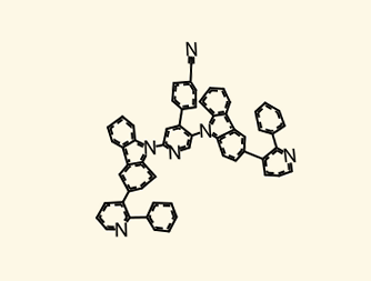 N#Cc1ccc(-c2cc(-n3c4ccccc4c4cc(-c5cccnc5-c5ccccc5)ccc43)ncc2-n2c3ccccc3c3cc(-c4cccnc4-c4ccccc4)ccc32)cc1